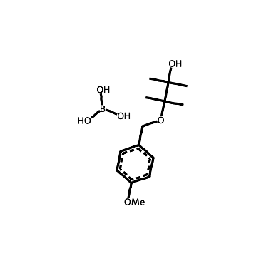 COc1ccc(COC(C)(C)C(C)(C)O)cc1.OB(O)O